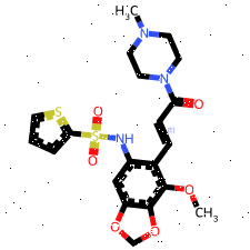 COc1c(/C=C/C(=O)N2CCN(C)CC2)c(NS(=O)(=O)c2cccs2)cc2c1OCO2